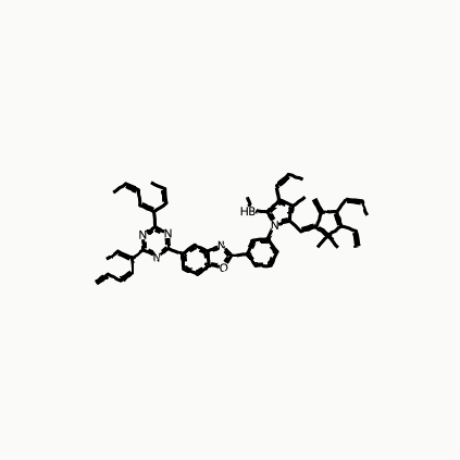 C=C/C=C\C(=C/C)c1nc(C(/C=C\C)=C/C=C\C)nc(-c2ccc3oc(-c4cccc(-n5c(BC)c(/C=C\C)c(C)c5/C=C5\C(=C)C(/C=C\C)=C(C=C)C5(C)C)c4)nc3c2)n1